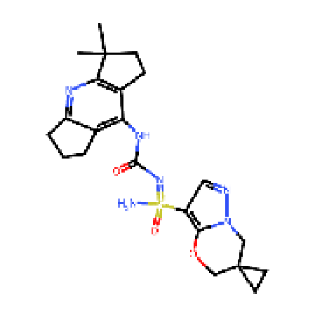 CC1(C)CCc2c1nc1c(c2NC(=O)N=S(N)(=O)c2cnn3c2OCC2(CC2)C3)CCC1